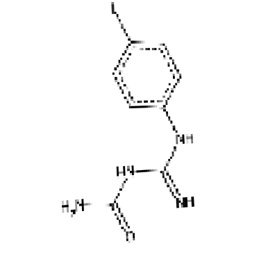 N=C(NC(N)=O)Nc1ccc(I)cc1